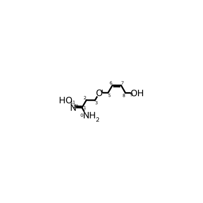 N/C(CCOC/C=C\CO)=N/O